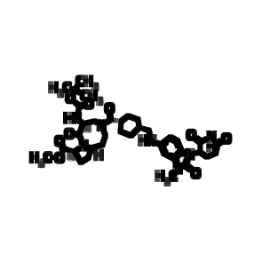 COC(=O)[C@@H]1CC[C@@H]2CCN(C(=O)[C@H]3CC[C@H](CNc4ccc5c(c4)n(C)c(=O)n5C4CCC(=O)NC4=O)CC3)C[C@H](NC(=O)OC(C)(C)C)C(=O)N21